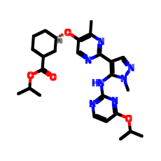 Cc1nc(-c2cnn(C)c2Nc2nccc(OC(C)C)n2)ncc1O[C@H]1CCCC(C(=O)OC(C)C)C1